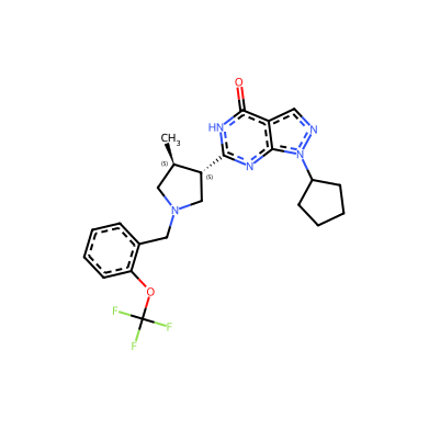 C[C@@H]1CN(Cc2ccccc2OC(F)(F)F)C[C@H]1c1nc2c(cnn2C2CCCC2)c(=O)[nH]1